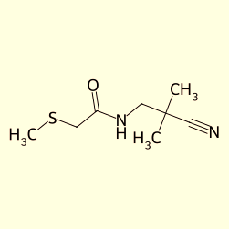 CSCC(=O)NCC(C)(C)C#N